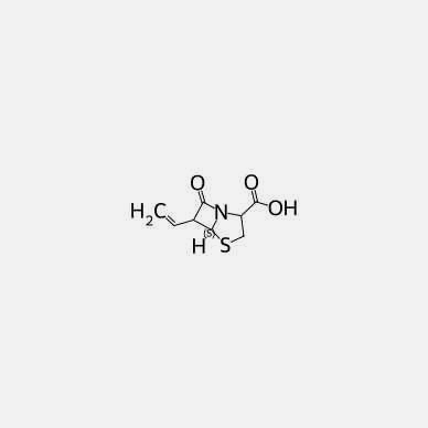 C=CC1C(=O)N2C(C(=O)O)CS[C@@H]12